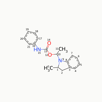 CC1Cc2ccccc2N1C(C)OC(=O)Nc1ccccc1